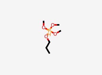 CCCO[PH](OC)(OC)OC